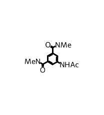 CNC(=O)c1cc(NC(C)=O)cc(C(=O)NC)c1